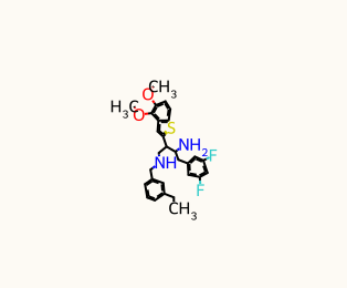 CCc1cccc(CNCC(c2cc3c(OC)c(OC)ccc3s2)C(N)Cc2cc(F)cc(F)c2)c1